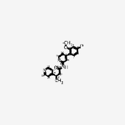 COc1cc(F)ccc1-c1ccnc(NC(=O)CC(C)c2ccncc2)c1